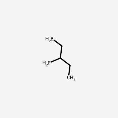 BCC(P)CC